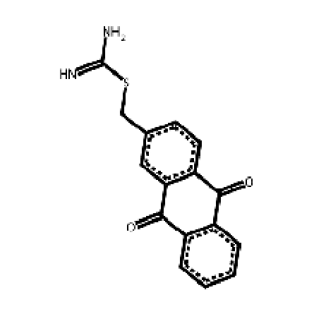 N=C(N)SCc1ccc2c(c1)C(=O)c1ccccc1C2=O